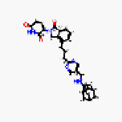 O=C1CCC(N2Cc3c(CCCc4ncc(CNC56CC7CC(CC5C7)C6)cn4)cccc3C2=O)C(=O)N1